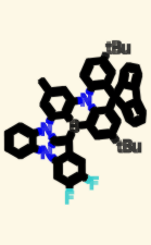 Cc1cc2c3c(c1)-n1c4ccccc4n4c5cc(F)c(F)cc5c(c14)B3c1cc(C(C)(C)C)cc3c1N2c1ccc(C(C)(C)C)cc1C31c2ccccc2-c2ccccc21